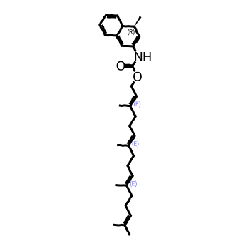 CC(C)=CCC/C(C)=C/CC/C(C)=C/CC/C(C)=C/COC(=O)NC1=C[C@H](C)C2C=CC=CC2=C1